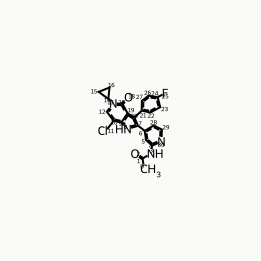 CC(=O)Nc1cc(-c2[nH]c3c(Cl)cn(C4CC4)c(=O)c3c2-c2ccc(F)cc2)ccn1